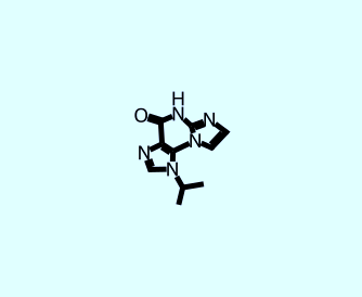 CC(C)n1cnc2c(=O)[nH]c3nccn3c21